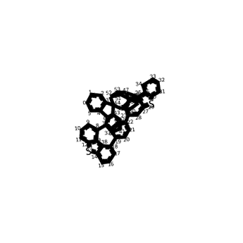 c1ccc2c(c1)-c1c(-c3cccc4sc5cccc(-c6ccc(-c7ccc8c(c7)sc7ccccc78)cc6)c5c34)cccc1C21C2CC3CC(C2)CC1C3